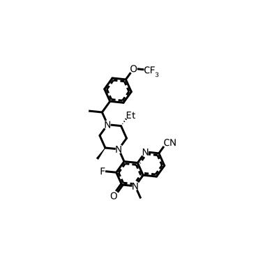 CC[C@@H]1CN(c2c(F)c(=O)n(C)c3ccc(C#N)nc23)[C@@H](C)CN1C(C)c1ccc(OC(F)(F)F)cc1